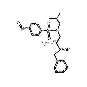 CC(C)CN(C[C@@H](N)[C@@H](N)Cc1ccccc1)S(=O)(=O)c1ccc(N=O)cc1